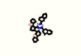 CC1C=C(c2nc(-c3ccc4ccccc4c3)nc(-c3c(-c4cccc5c4oc4ccccc45)ccc4oc5ccccc5c34)n2)C=C2C=CC=CC21